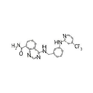 NC(=O)c1cccc2c(NCc3cccc(Nc4cc(C(F)(F)F)ccn4)c3)ncnc12